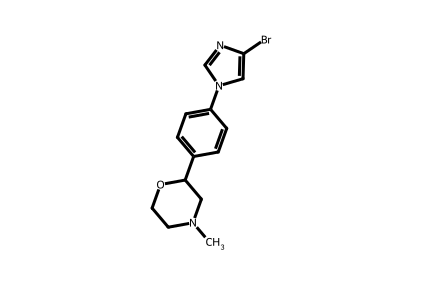 CN1CCOC(c2ccc(-n3cnc(Br)c3)cc2)C1